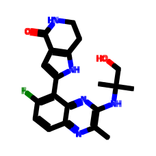 Cc1nc2ccc(F)c(-c3cc4c([nH]3)CCNC4=O)c2nc1NC(C)(C)CO